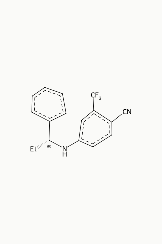 CC[C@@H](Nc1ccc(C#N)c(C(F)(F)F)c1)c1ccccc1